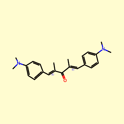 C/C(=C\c1ccc(N(C)C)cc1)C(=O)/C(C)=C/c1ccc(N(C)C)cc1